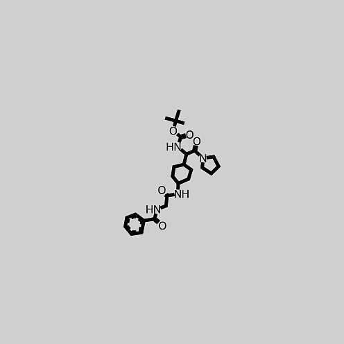 CC(C)(C)OC(=O)NC(C(=O)N1CCCC1)C1CCC(NC(=O)CNC(=O)c2ccccc2)CC1